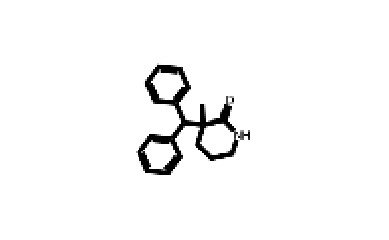 CC1(C(c2ccccc2)c2ccccc2)CCCNC1=O